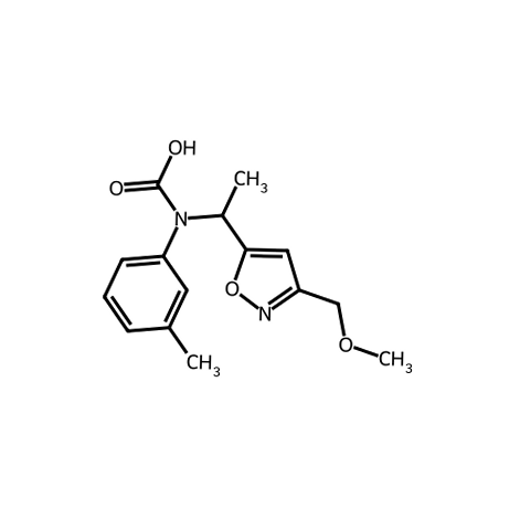 COCc1cc(C(C)N(C(=O)O)c2cccc(C)c2)on1